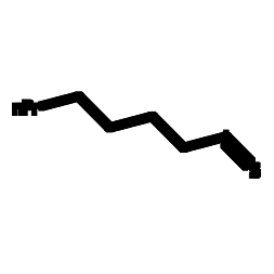 CCCCCCC[C]=S